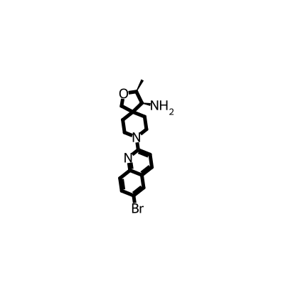 C[C@@H]1OCC2(CCN(c3ccc4cc(Br)ccc4n3)CC2)[C@@H]1N